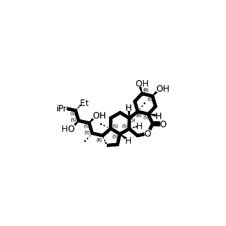 CC[C@@H](C(C)C)[C@H](O)[C@@H](O)[C@@H](C)[C@H]1CC[C@H]2[C@@H]3COC(=O)[C@H]4C[C@H](O)[C@H](O)C[C@]4(C)[C@H]3CC[C@]12C